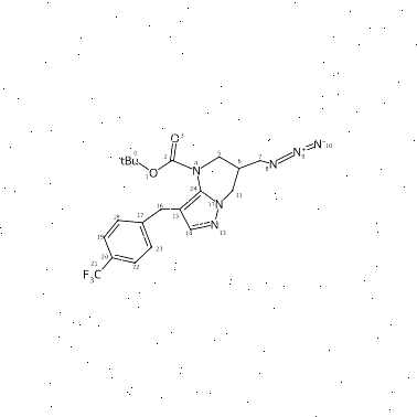 CC(C)(C)OC(=O)N1CC(CN=[N+]=[N-])Cn2ncc(Cc3ccc(C(F)(F)F)cc3)c21